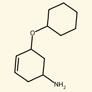 NC1CC=CC(OC2CCCCC2)C1